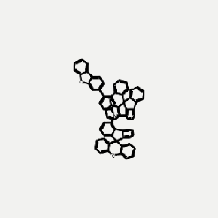 c1ccc2c(c1)Oc1ccccc1C21c2ccccc2-c2c(N(c3ccc(-c4ccc5c(c4)oc4ccccc45)cc3)c3cccc4c3C3(c5ccccc5Oc5ccccc53)c3ccccc3-4)cccc21